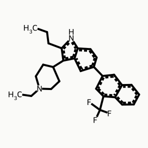 CCCc1[nH]c2ccc(-c3cc(C(F)(F)F)c4ccccc4c3)cc2c1C1CCN(CC)CC1